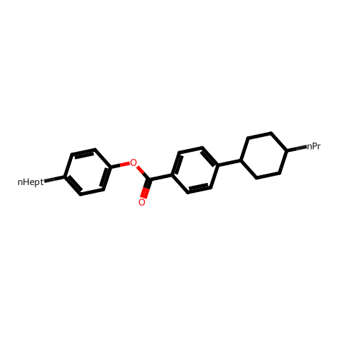 CCCCCCCc1ccc(OC(=O)c2ccc(C3CCC(CCC)CC3)cc2)cc1